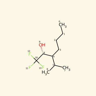 CCCCC(C(C)C)[C@@H](O)C(F)(F)F